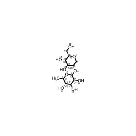 C[C@H]1O[C@@H](O[C@H]2[CH]O[C@H](CO)[C@@H](O)[C@@H]2O)[C@@H](O)[C@@H](O)[C@@H]1O